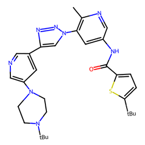 Cc1ncc(NC(=O)c2ccc(C(C)(C)C)s2)cc1-n1cc(-c2cncc(N3CCN(C(C)(C)C)CC3)c2)nn1